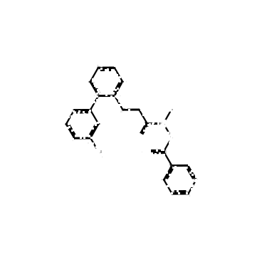 CC(C)N(NC(=O)c1ccccc1)C(=O)CCc1ccccc1-c1cccc(N)c1